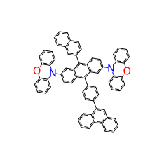 c1ccc2c(c1)Oc1ccccc1N2c1ccc2c(-c3ccc4ccccc4c3)c3cc(N4c5ccccc5Oc5ccccc54)ccc3c(-c3ccc(-c4cc5ccccc5c5ccccc45)cc3)c2c1